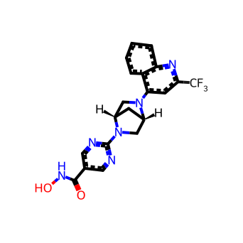 O=C(NO)c1cnc(N2C[C@@H]3C[C@H]2CN3c2cc(C(F)(F)F)nc3ccccc23)nc1